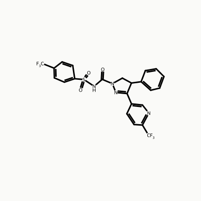 O=C(NS(=O)(=O)c1ccc(C(F)(F)F)cc1)N1CC(c2ccccc2)C(c2ccc(C(F)(F)F)nc2)=N1